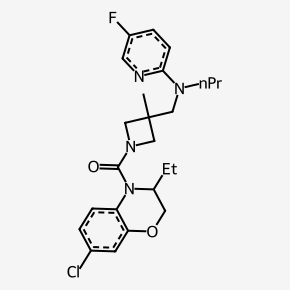 CCCN(CC1(C)CN(C(=O)N2c3ccc(Cl)cc3OCC2CC)C1)c1ccc(F)cn1